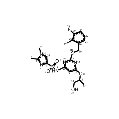 Cc1nc(S(=O)(=O)Nc2cc(OC(C)CO)nc(SCc3cccc(F)c3F)n2)cn1C